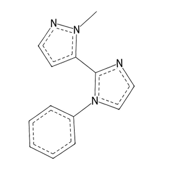 Cn1nccc1-c1nccn1-c1ccccc1